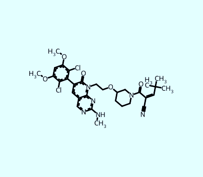 CNc1ncc2cc(-c3c(Cl)c(OC)cc(OC)c3Cl)c(=O)n(CCOC3CCCN(C(=O)/C(C#N)=C\C(C)(C)C)C3)c2n1